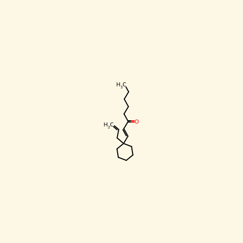 C=CCC1(/C=C/C(=O)CCCCC)CCCCC1